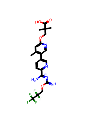 Cc1cc(OCC(C)(C)C(=O)O)ncc1-c1ccc(/C(N)=N/C(=N)OCC(F)(F)C(F)(F)F)nc1